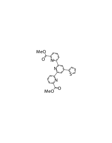 COC(=O)c1cccc(-c2cc(-c3cccs3)cc(-c3cccc(C(=O)OC)n3)n2)n1